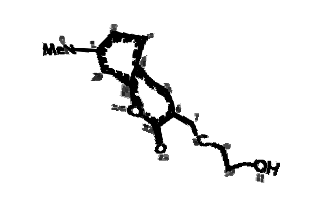 CNc1ccc2cc(CCCCO)c(=O)oc2c1